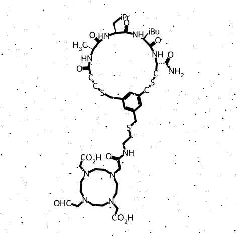 CC[C@H](C)[C@@H]1NC(=O)[C@H](CC(C)C)NC(=O)[C@@H](C)NC(=O)CCSCc2cc(CSCCNC(=O)CN3CCN(CC(=O)O)CCN(CC=O)CCN(CC(=O)O)CC3)cc(c2)CSC[C@@H](C(N)=O)NC1=O